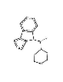 O[C@H](C1CCOCC1)C1c2ccccc2-c2cncn21